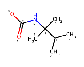 CC(C)C(C)(C)NC([O])=O